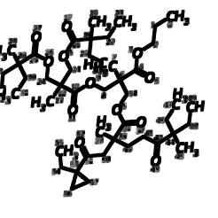 CCCOC(=O)C(C)(COC(=O)C(C)(COC(=O)C(C)(CC)CC)COC(=O)C(C)(CC)CC)COC(=O)C(C)(CCC(=O)C(C)(CC)CC)CC(=O)C1(CC)CC1